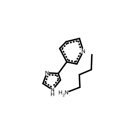 CCCCN.c1cncc(-c2c[nH]cn2)c1